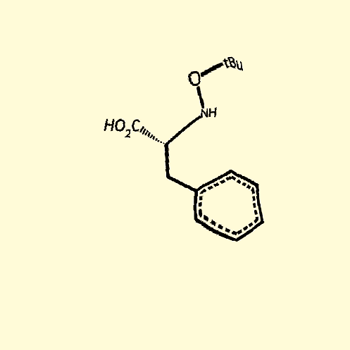 CC(C)(C)ON[C@H](Cc1ccccc1)C(=O)O